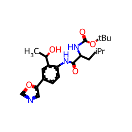 CC(C)CC(NC(=O)OC(C)(C)C)C(=O)Nc1ccc(-c2cnco2)cc1C(C)O